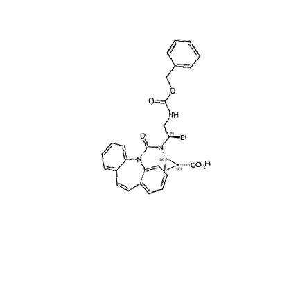 CC[C@H](CNC(=O)OCc1ccccc1)N(C(=O)N1c2ccccc2C=Cc2ccccc21)[C@H]1C[C@H]1C(=O)O